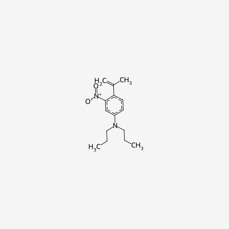 C=C(C)c1ccc(N(CCC)CCC)cc1[N+](=O)[O-]